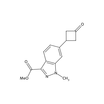 COC(=O)c1nn(C)c2cc(C3CC(=O)C3)ccc12